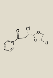 O=C(CC(Cl)C1OCC(Cl)O1)c1ccccc1